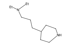 CCN(CC)CCCC1CCNCC1